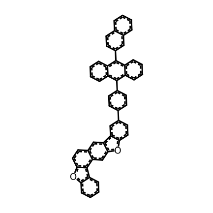 c1ccc2cc(-c3c4ccccc4c(-c4ccc(-c5ccc6oc7cc8c(ccc9oc%10ccccc%10c98)cc7c6c5)cc4)c4ccccc34)ccc2c1